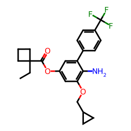 CCC1(C(=O)Oc2cc(OCC3CC3)c(N)c(-c3ccc(C(F)(F)F)cc3)c2)CCC1